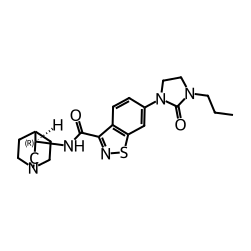 CCCN1CCN(c2ccc3c(C(=O)N[C@H]4CN5CCC4CC5)nsc3c2)C1=O